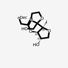 CCCCCCCCCCCC(=O)O[C@@H]1[C@@H](O)CO[C@]1(I)C1(CO)OCCO1